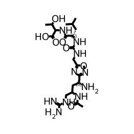 CC(=O)NC(CNC(=N)N)C[C@H](N)c1noc(CNC(=O)N[C@@H](CC(C)C)C(=O)NC(C(=O)O)C(C)O)n1